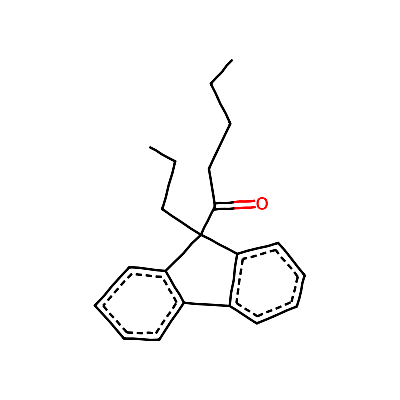 CCCCC(=O)C1(CCC)c2ccccc2-c2ccccc21